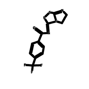 O=C(/N=C1\SSC2=NCCN21)c1ccc(C(F)(F)F)cc1